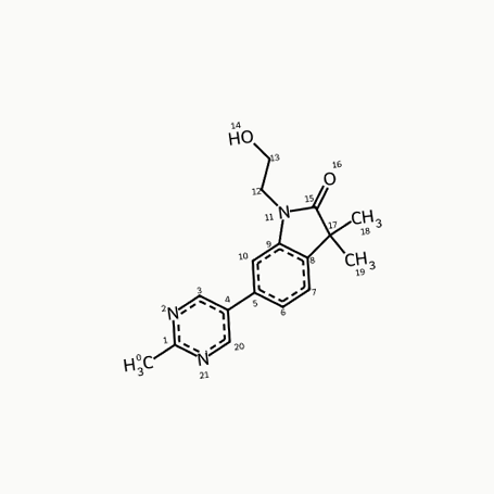 Cc1ncc(-c2ccc3c(c2)N(CCO)C(=O)C3(C)C)cn1